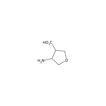 NC1COCC1C(=O)O